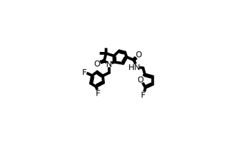 CC1(C)C(=O)N(Cc2cc(F)cc(F)c2)c2cc(C(=O)NCc3ccc(F)o3)ccc21